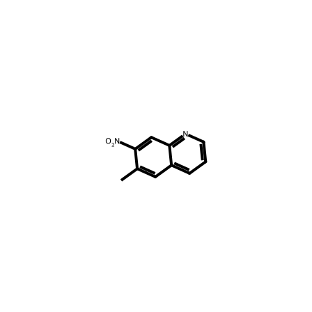 Cc1cc2cccnc2cc1[N+](=O)[O-]